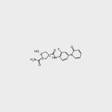 NC(=O)[C@@H]1C[C@H](C(=O)Nc2ccc(-n3ccccc3=O)cc2F)C[C@H]1O